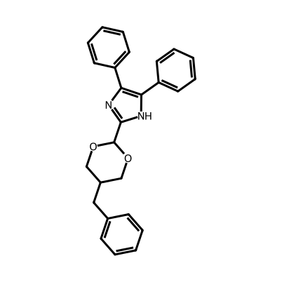 c1ccc(CC2COC(c3nc(-c4ccccc4)c(-c4ccccc4)[nH]3)OC2)cc1